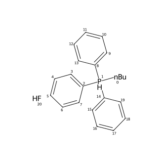 CCCC[PH](c1ccccc1)(c1ccccc1)c1ccccc1.F